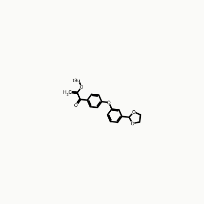 C=C(OC(C)(C)C)C(=O)c1ccc(Oc2cccc(C3OCCO3)c2)cc1